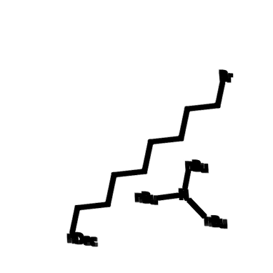 CCCCCCCCCCCCCCCCCCBr.CCCCN(CCCC)CCCC